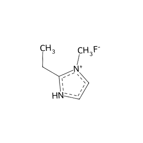 CCc1[nH]cc[n+]1C.[F-]